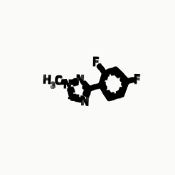 Cn1[c]nc(-c2ccc(F)cc2F)n1